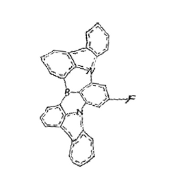 Fc1cc2c3c(c1)-n1c4ccccc4c4cccc(c41)B3c1cccc3c4ccccc4n-2c13